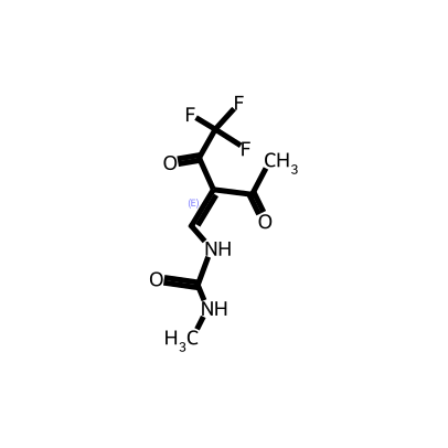 CNC(=O)N/C=C(\C(C)=O)C(=O)C(F)(F)F